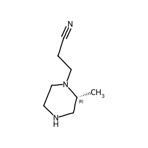 C[C@@H]1CNCCN1CCC#N